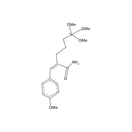 COc1ccc(C=C(CCC[Si](OC)(OC)OC)C(N)=O)cc1